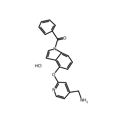 Cl.NCc1ccnc(Oc2cccc3c2ccn3C(=O)c2ccccc2)c1